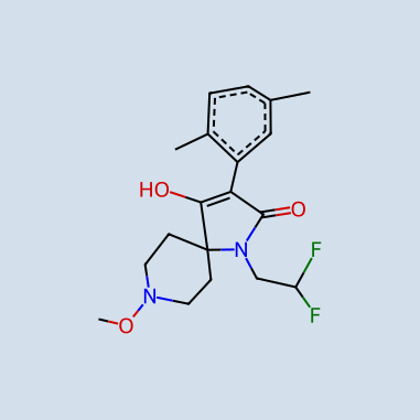 CON1CCC2(CC1)C(O)=C(c1cc(C)ccc1C)C(=O)N2CC(F)F